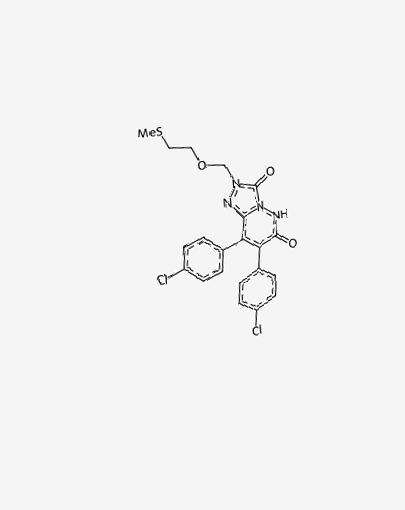 CSCCOCn1nc2c(-c3ccc(Cl)cc3)c(-c3ccc(Cl)cc3)c(=O)[nH]n2c1=O